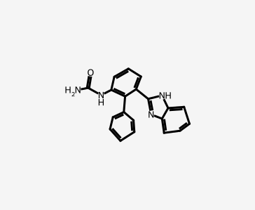 NC(=O)Nc1cccc(-c2nc3ccccc3[nH]2)c1-c1ccccc1